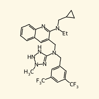 CCN(CC1CC1)c1nc2ccccc2cc1CN(Cc1cc(C(F)(F)F)cc(C(F)(F)F)c1)C1=NN(C)NN1